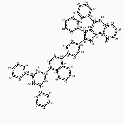 c1ccc(-c2cc(-c3ccc(-c4ccc(-c5nc6c7ncccc7nc(-c7ccccc7)c6n5-c5ccccc5)cc4)c4ccccc34)nc(-c3ccccc3)n2)cc1